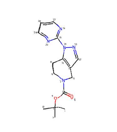 CC(C)(C)OC(=O)N1CCc2c(cnn2-c2ncccn2)C1